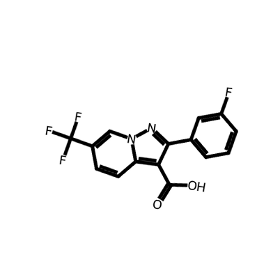 O=C(O)c1c(-c2cccc(F)c2)nn2cc(C(F)(F)F)ccc12